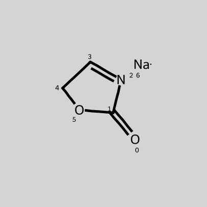 O=C1N=CCO1.[Na]